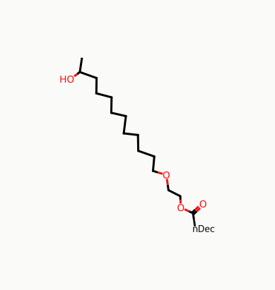 CCCCCCCCCCC(=O)OCCOCCCCCCCCCCC(C)O